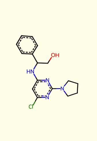 OCC(Nc1cc(Cl)nc(N2CCCC2)n1)c1ccccc1